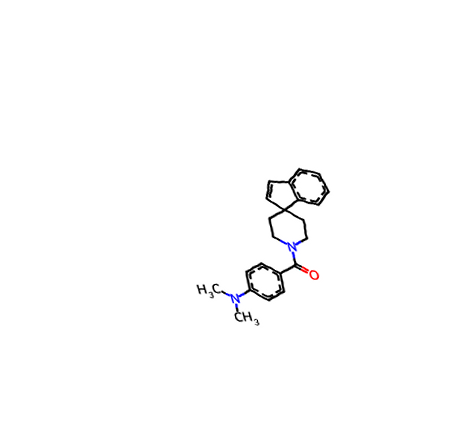 CN(C)c1ccc(C(=O)N2CCC3(C=Cc4ccccc43)CC2)cc1